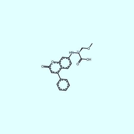 COC[C@H](Nc1ccc2c(-c3ccccc3)cc(=O)oc2c1)C(=O)O